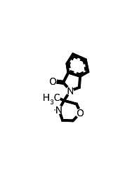 CC1(N2Cc3ccccc3C2=O)COCC[N]1